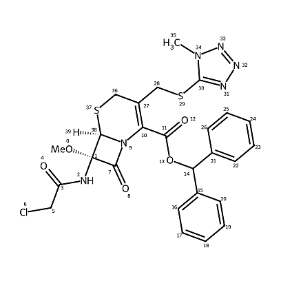 CO[C@@]1(NC(=O)CCl)C(=O)N2C(C(=O)OC(c3ccccc3)c3ccccc3)=C(CSc3nnnn3C)CS[C@@H]21